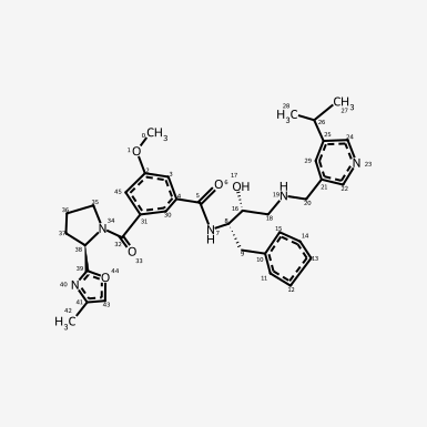 COc1cc(C(=O)N[C@@H](Cc2ccccc2)[C@H](O)CNCc2cncc(C(C)C)c2)cc(C(=O)N2CCC[C@@H]2c2nc(C)co2)c1